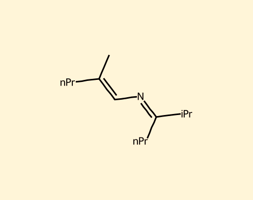 CCC/C(C)=C/N=C(\CCC)C(C)C